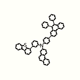 c1ccc(-c2c(-c3ccccc3)c3cc(-c4ccc(N(c5cccc(-c6cccc7c6sc6ccccc67)c5)c5ccc6c(ccc7ccccc76)c5)cc4)ccc3c3ccccc23)cc1